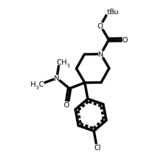 CN(C)C(=O)C1(c2ccc(Cl)cc2)CCN(C(=O)OC(C)(C)C)CC1